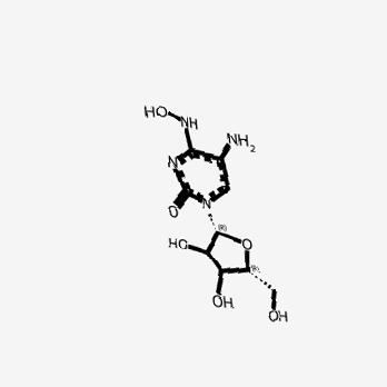 Nc1cn([C@@H]2O[C@H](CO)C(O)C2O)c(=O)nc1NO